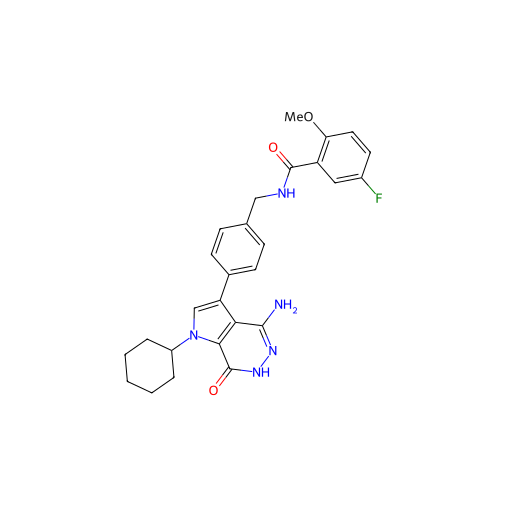 COc1ccc(F)cc1C(=O)NCc1ccc(-c2cn(C3CCCCC3)c3c(=O)[nH]nc(N)c23)cc1